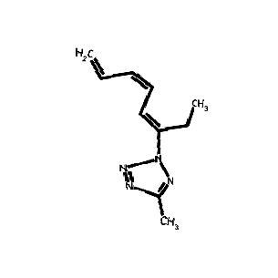 C=C/C=C\C=C(/CC)n1nnc(C)n1